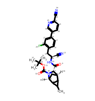 CC1C2C1[C@@H]1C[C@H]2[C@@H](C(=O)N[C@H](C#N)Cc2ccc(-c3ccc(C#N)nc3)cc2F)N1C(=O)OC(C)(C)C